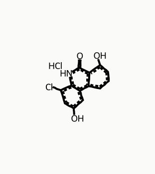 Cl.O=c1[nH]c2c(Cl)cc(O)cc2c2cccc(O)c12